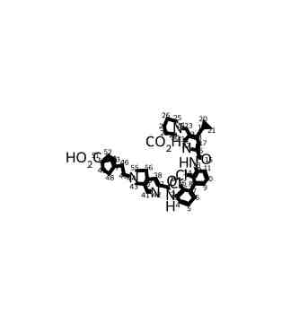 O=C(Nc1cccc(-c2cccc(NC(=O)c3cc(C4CC4)c(CN4CCCCC4C(=O)O)cn3)c2Cl)c1Cl)c1cc2c(cn1)CN(CCC13CCC(C(=O)O)(CC1)C3)CC2